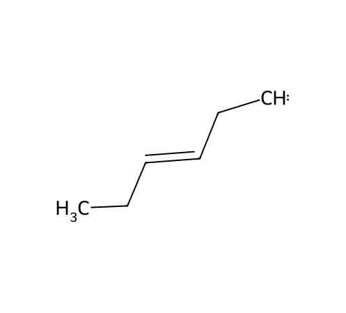 [CH]C/C=C/CC